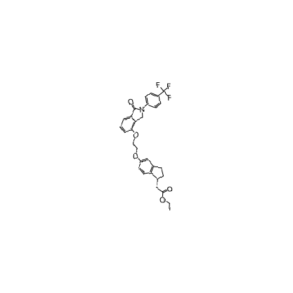 CCOC(=O)CC1CCc2cc(OCCOc3cccc4c3CN(c3ccc(C(F)(F)F)cc3)C4=O)ccc21